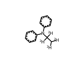 [2H]C([2H])C([2H])([2H])N(c1ccccc1)c1ccccc1